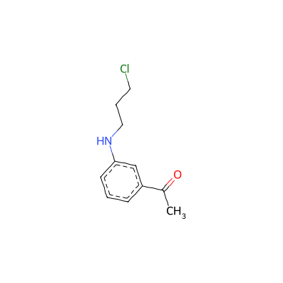 CC(=O)c1cccc(NCCCCl)c1